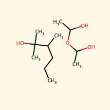 CC(O)OC(C)O.CCCC(C)C(C)(C)O